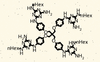 CCCCCCNc1nc(N)nc(Nc2ccc(OCC(COc3ccc(Nc4nc(N)nc(NCCCCCC)n4)cc3)(COc3ccc(Nc4nc(N)nc(NCCCCCC)n4)cc3)COc3ccc(Nc4nc(N)nc(NCCCCCC)n4)cc3)cc2)n1